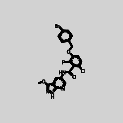 COc1n[nH]c2ncc(NC(=O)c3c(Cl)ccc(OCc4ccc(Br)cc4)c3F)cc12